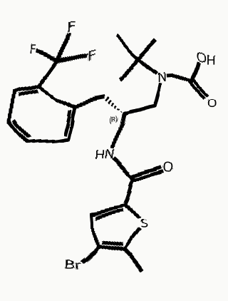 Cc1sc(C(=O)N[C@H](Cc2ccccc2C(F)(F)F)CN(C(=O)O)C(C)(C)C)cc1Br